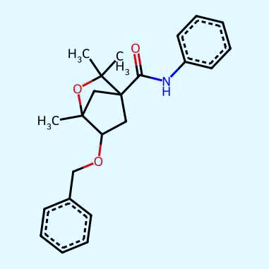 CC12CC(C(=O)Nc3ccccc3)(CC1OCc1ccccc1)C(C)(C)O2